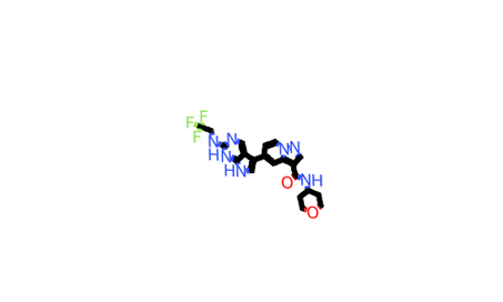 O=C(NC1CCOCC1)c1cnn2ccc(-c3c[nH]c4nc(NCC(F)(F)F)ncc34)cc12